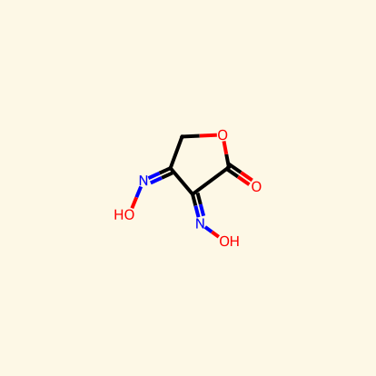 O=C1OCC(=N/O)/C1=N/O